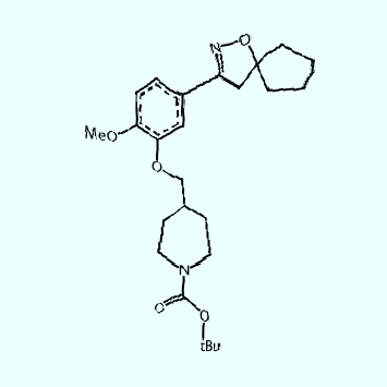 COc1ccc(C2=NOC3(CCCC3)C2)cc1OCC1CCN(C(=O)OC(C)(C)C)CC1